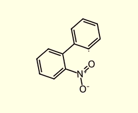 O=[N+]([O-])c1ccccc1-c1[c]cccc1